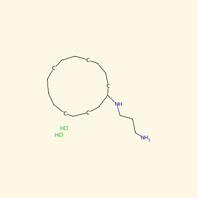 Cl.Cl.NCCCNC1CCCCCCCCCCCCCC1